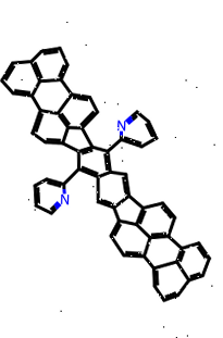 c1ccc(-c2c3cc4c(cc3c(-c3ccccn3)c3c5ccc6c7cccc8cccc(c9ccc(c23)c5c96)c87)c2ccc3c5cccc6cccc(c7ccc4c2c73)c65)nc1